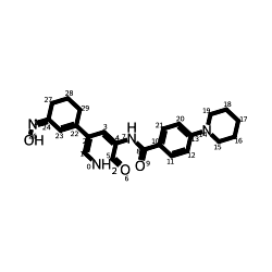 N/C=C(\C=C(/C=O)NC(=O)c1ccc(N2CCCCC2)cc1)C1=C/C(=N\O)CCC1